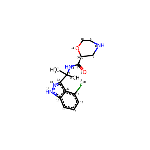 CC(C)(NC(=O)[C@@H]1CNCCO1)c1n[nH]c2cccc(F)c12